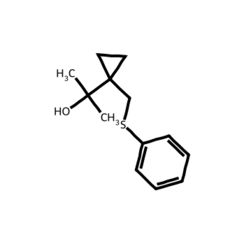 CC(C)(O)C1(CSc2ccccc2)CC1